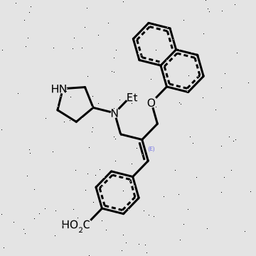 CCN(C/C(=C\c1ccc(C(=O)O)cc1)COc1cccc2ccccc12)C1CCNC1